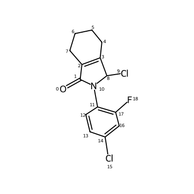 O=C1C2=C(CCCC2)C(Cl)N1c1ccc(Cl)cc1F